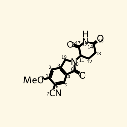 COc1cc2c(cc1C#N)C(=O)N(C1CCC(=O)NC1=O)C2